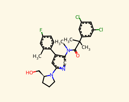 Cc1cc(F)ccc1-c1cc(N2CCC[C@H]2CO)ncc1N(C)C(=O)C(C)(C)c1cc(Cl)cc(Cl)c1